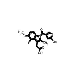 COc1ccc2c(c1F)c(CC(=O)O)c(C)n2C(=O)c1csc(O)c1